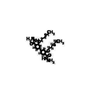 CCSCCCOc1cc(-c2ccc(C(=O)NN)c(OCCCSCC)c2)ccc1C(=O)NN